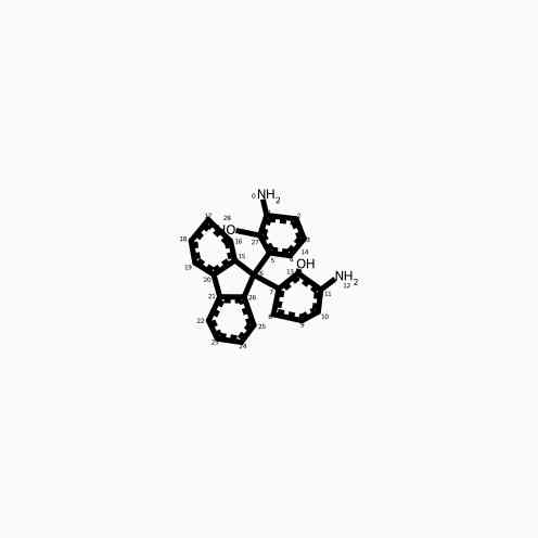 Nc1cccc(C2(c3cccc(N)c3O)c3ccccc3-c3ccccc32)c1O